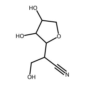 N#CC(CO)C1OCC(O)C1O